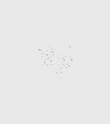 CC(=O)[C@H]1CC[C@H]2[C@@H]3CC=C4C[C@H](N)CC[C@]4(C)[C@H]3CC[C@]12C.CN1CC[C@]23c4c5ccc(O)c4O[C@H]2C(=O)CC[C@H]3[C@H]1C5